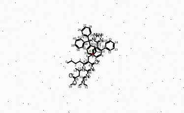 CCCCc1c(Cc2ccc(-c3ccccc3)c(-c3nnnn3C(c3ccccc3)(c3ccccc3)c3ccccc3)c2)c(=O)nc(N=CN(C)C)n1C(C)CC(=O)OC